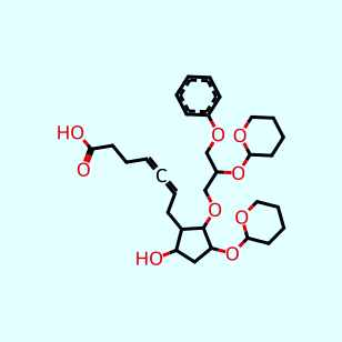 O=C(O)CCC=C=CCC1C(O)CC(OC2CCCCO2)C1OCC(COc1ccccc1)OC1CCCCO1